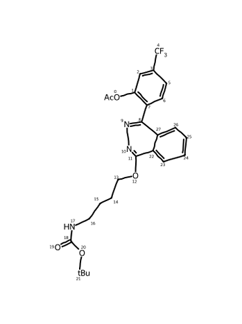 CC(=O)Oc1cc(C(F)(F)F)ccc1-c1nnc(OCCCCNC(=O)OC(C)(C)C)c2ccccc12